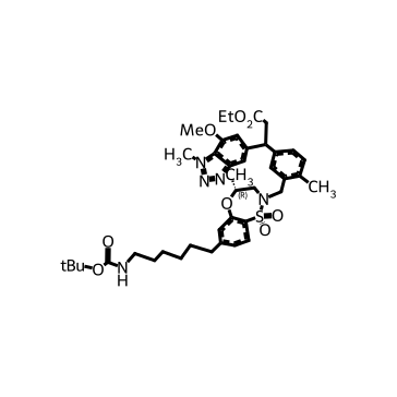 CCOC(=O)CC(c1ccc(C)c(CN2C[C@@H](C)Oc3cc(CCCCCCNC(=O)OC(C)(C)C)ccc3S2(=O)=O)c1)c1cc(OC)c2c(c1)nnn2C